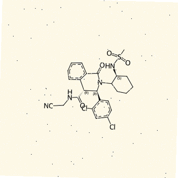 CS(=O)(=O)N[C@H]1CCCCC1N1C(=O)c2ccccc2[C@@H](C(=O)NCC#N)[C@@H]1c1ccc(Cl)cc1Cl